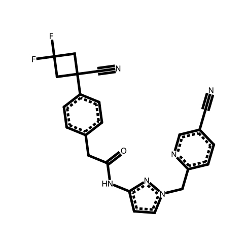 N#Cc1ccc(Cn2ccc(NC(=O)Cc3ccc(C4(C#N)CC(F)(F)C4)cc3)n2)nc1